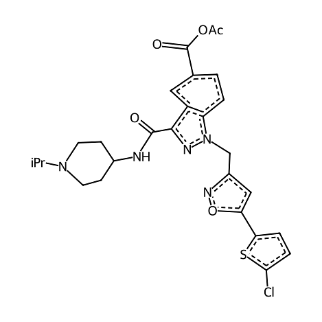 CC(=O)OC(=O)c1ccc2c(c1)c(C(=O)NC1CCN(C(C)C)CC1)nn2Cc1cc(-c2ccc(Cl)s2)on1